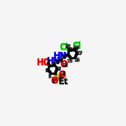 CCS(=O)(=O)c1ccc(O)c(NC(=O)Nc2cccc(Cl)c2Cl)c1